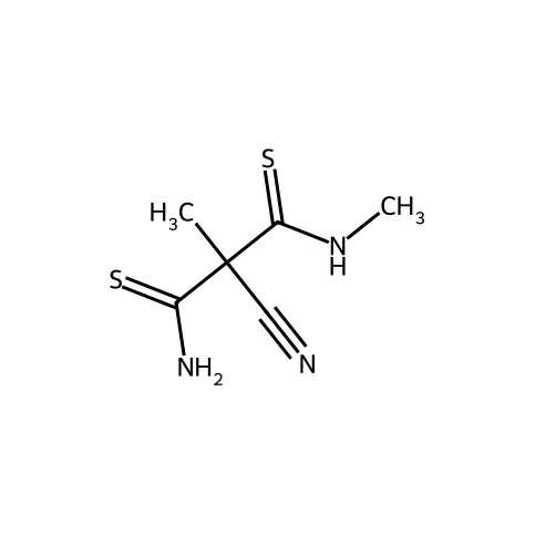 CNC(=S)C(C)(C#N)C(N)=S